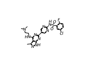 Cc1n[nH]c2nc(-c3cnc(NS(=O)(=O)c4cc(Cl)ccc4F)nc3)nc(NCCN(C)C)c12